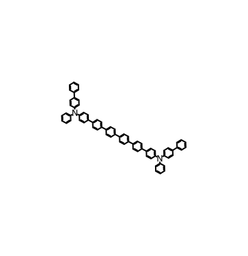 c1ccc(-c2ccc(N(c3ccccc3)c3ccc(-c4ccc(-c5ccc(-c6ccc(-c7ccc(-c8ccc(N(c9ccccc9)c9ccc(-c%10ccccc%10)cc9)cc8)cc7)cc6)cc5)cc4)cc3)cc2)cc1